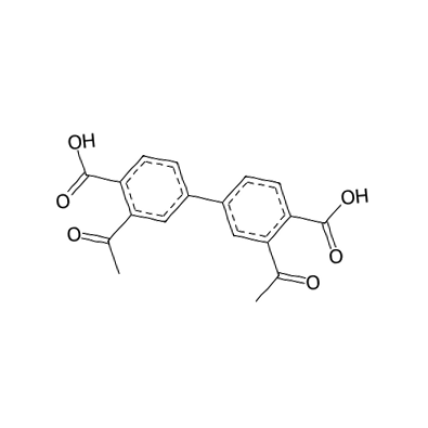 CC(=O)c1cc(-c2ccc(C(=O)O)c(C(C)=O)c2)ccc1C(=O)O